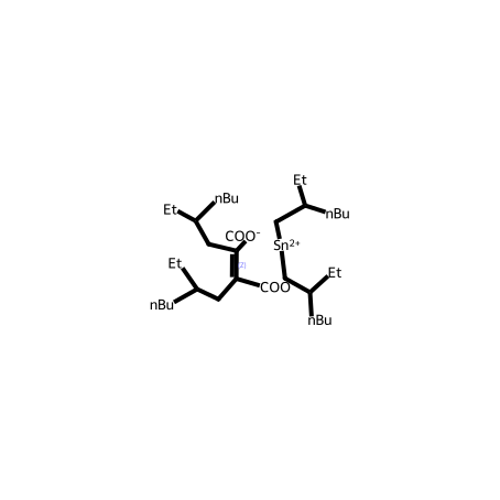 CCCCC(CC)C/C(C(=O)[O-])=C(\CC(CC)CCCC)C(=O)[O-].CCCCC(CC)[CH2][Sn+2][CH2]C(CC)CCCC